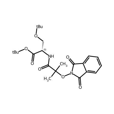 CC(C)(C)OC[C@H](NC(=O)C(C)(C)ON1C(=O)c2ccccc2C1=O)C(=O)OC(C)(C)C